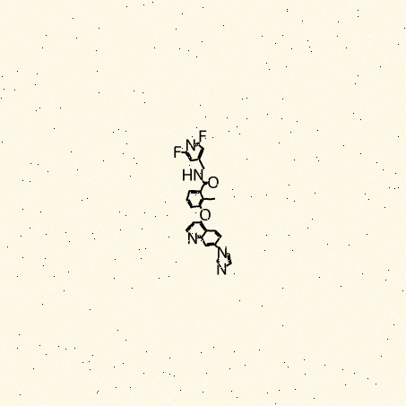 Cc1c(Oc2ccnc3cc(-n4ccnc4)ccc23)cccc1C(=O)NCc1cc(F)nc(F)c1